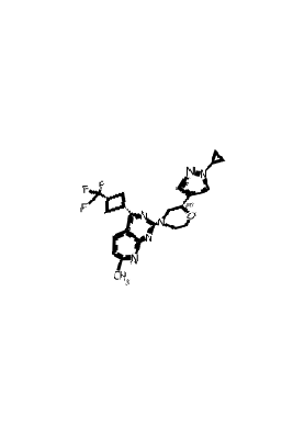 Cc1ccc2c(n1)nc(N1CCO[C@H](c3cnn(C4CC4)c3)C1)nc2[C@H]1C[C@H](C(F)(F)F)C1